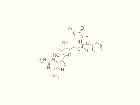 CC(C)OC(=O)[C@@H](C)N[P@@](=O)(OC[C@H]1O[C@@H](n2cnc3c(N)nc(N)nc32)[C@](C)(C#N)[C@@H]1O)Oc1ccccc1